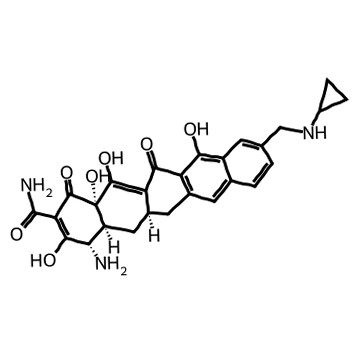 NC(=O)C1=C(O)[C@@H](N)[C@@H]2C[C@@H]3Cc4cc5ccc(CNC6CC6)cc5c(O)c4C(=O)C3=C(O)[C@]2(O)C1=O